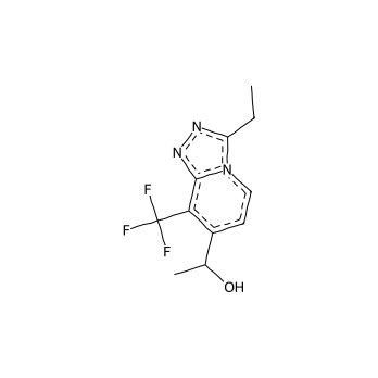 CCc1nnc2c(C(F)(F)F)c(C(C)O)ccn12